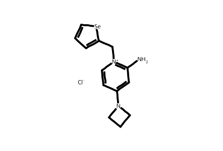 Nc1cc(N2CCC2)cc[n+]1Cc1ccc[se]1.[Cl-]